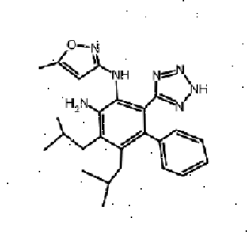 Cc1cc(Nc2c(N)c(CC(C)C)c(CC(C)C)c(-c3ccccc3)c2-c2nn[nH]n2)no1